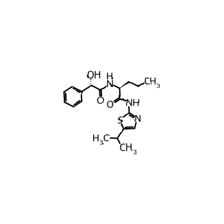 CCC[C@H](NC(=O)[C@@H](O)c1ccccc1)C(=O)Nc1ncc(C(C)C)s1